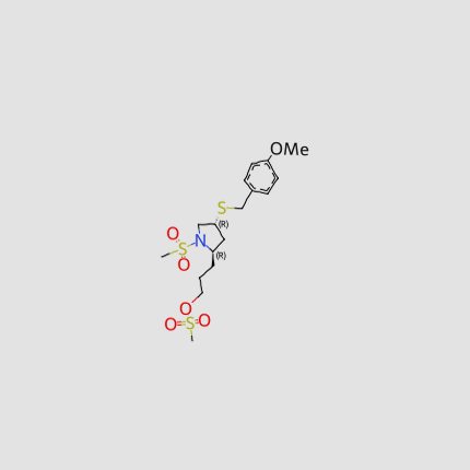 COc1ccc(CS[C@@H]2C[C@@H](CCCOS(C)(=O)=O)N(S(C)(=O)=O)C2)cc1